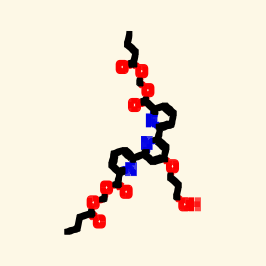 CCCC(=O)OCOC(=O)c1cccc(-c2cc(OCCCO)cc(-c3cccc(C(=O)OCOC(=O)CCC)n3)n2)n1